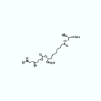 CCCCCCC(CCCC)COC(=O)CCCCCCC(CCCCCC)OC(=O)OCCN(CCNCC)C(C)C